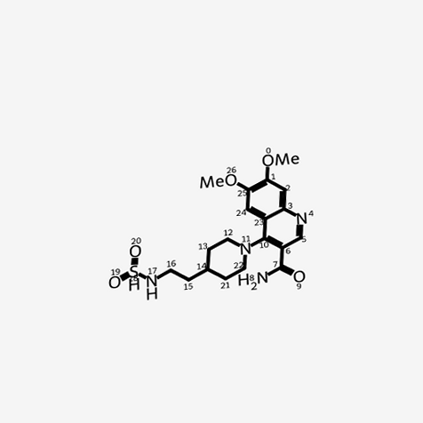 COc1cc2ncc(C(N)=O)c(N3CCC(CCN[SH](=O)=O)CC3)c2cc1OC